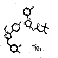 CCn1nc(Cc2ccc(F)c(F)c2)cc1C1CCN(C[C@H]2C[C@H](OC(=O)CN(C)C(C)(C)C)C[C@@H]2c2cccc(F)c2)CC1.Cl.Cl.Cl